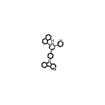 C1=C(c2ccc(-n3c4ccccc4c4cnccc43)cc2)C=C(c2cccc3ccccc23)NC1c1cccnc1